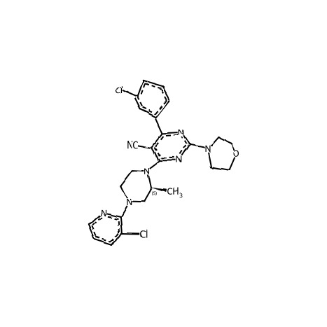 C[C@H]1CN(c2ncccc2Cl)CCN1c1nc(N2CCOCC2)nc(-c2cccc(Cl)c2)c1C#N